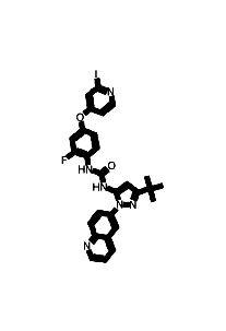 CC(C)(C)c1cc(NC(=O)Nc2ccc(Oc3ccnc(I)c3)cc2F)n(-c2ccc3ncccc3c2)n1